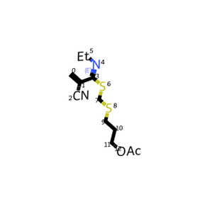 C=C(C#N)/C(=N\CC)SCSCCCOC(C)=O